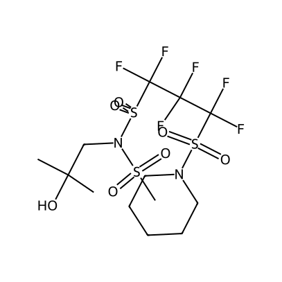 CC(C)(O)CN(S(C)(=O)=O)S(=O)(=O)C(F)(F)C(F)(F)C(F)(F)S(=O)(=O)N1CCCCC1